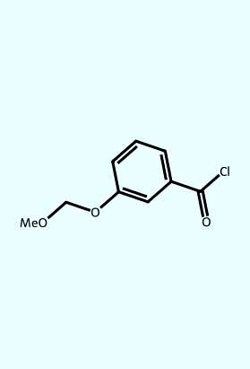 COCOc1cccc(C(=O)Cl)c1